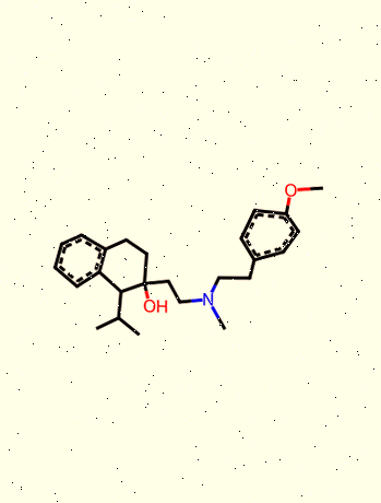 COc1ccc(CCN(C)CCC2(O)CCc3ccccc3C2C(C)C)cc1